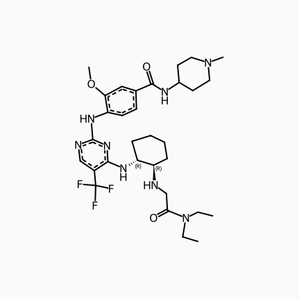 CCN(CC)C(=O)CN[C@@H]1CCCC[C@H]1Nc1nc(Nc2ccc(C(=O)NC3CCN(C)CC3)cc2OC)ncc1C(F)(F)F